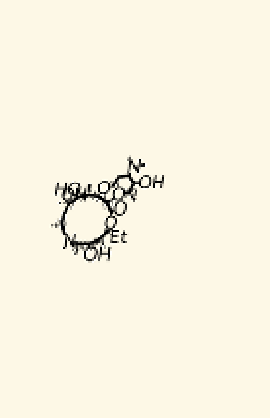 CC[C@H]1OC(=O)[C@H](C)[C@@H](O[C@H]2CC(N(C)C)C(O)[C@@H](C)O2)[C@H](C)[C@@H](O)[C@](C)(O)C[C@@H](C)CN(C)[C@H](C)[C@@H](O)[C@H]1C